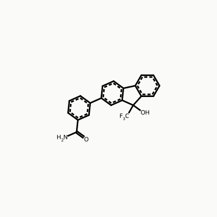 NC(=O)c1cccc(-c2ccc3c(c2)C(O)(C(F)(F)F)c2ccccc2-3)c1